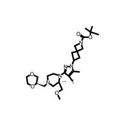 COC[C@@]1(C)CN(C[C@@H]2COCCO2)CCN1c1nn(C2CC3(C2)CN(C(=O)OC(C)(C)C)C3)c(C)c1I